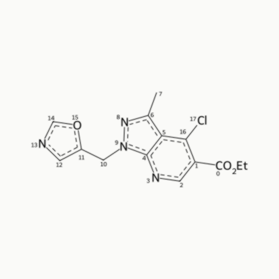 CCOC(=O)c1cnc2c(c(C)nn2Cc2cnco2)c1Cl